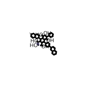 C=C(O)c1c(/C(O)=C(\C)O)c(C2C=CC3C[C@@H](C)C=CC3C2)c2c(O)c(O)c(-c3ccccc3)c(O)c2c1-c1ccc(-c2ccc3ccccc3c2)cc1